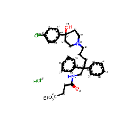 CCOC(=O)CCC(=O)NCC(CCCN1CCC(O)(c2ccc(Cl)cc2)CC1)(c1ccccc1)c1ccccc1.Cl